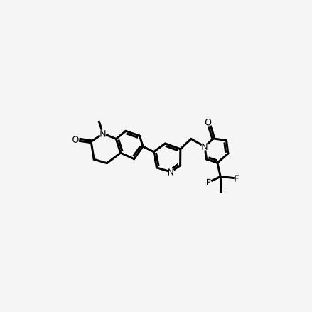 CN1C(=O)CCc2cc(-c3cncc(Cn4cc(C(C)(F)F)ccc4=O)c3)ccc21